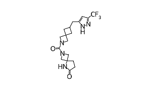 O=C1CCC2(CN(C(=O)N3CC4(CC(Cc5cc(C(F)(F)F)n[nH]5)C4)C3)C2)N1